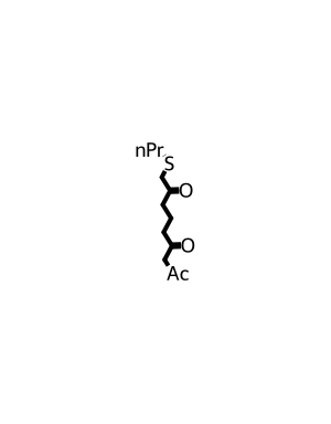 CCCSCC(=O)CCCC(=O)CC(C)=O